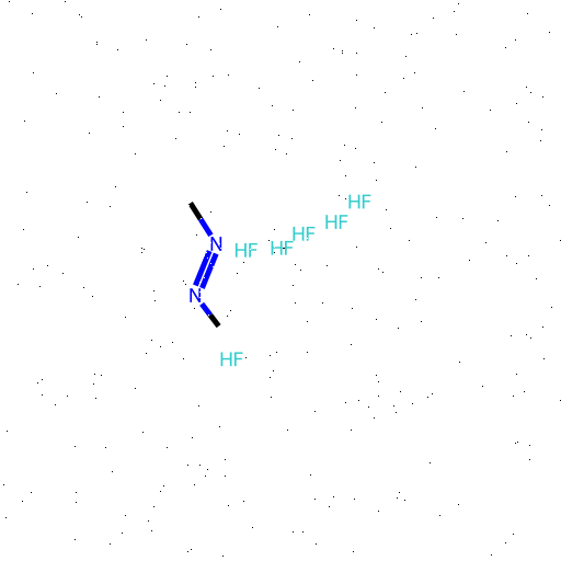 CN=NC.F.F.F.F.F.F